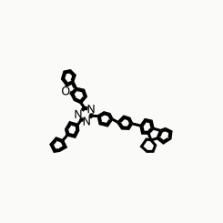 c1ccc(-c2ccc(-c3nc(-c4ccc(-c5ccc(-c6ccc7c(c6)C6(CCCCC6)c6ccccc6-7)cc5)cc4)nc(-c4ccc5c(c4)oc4ccccc45)n3)cc2)cc1